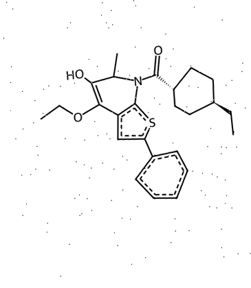 CCOC1=C(O)C(C)N(C(=O)[C@H]2CC[C@H](CC)CC2)c2sc(-c3ccccc3)cc21